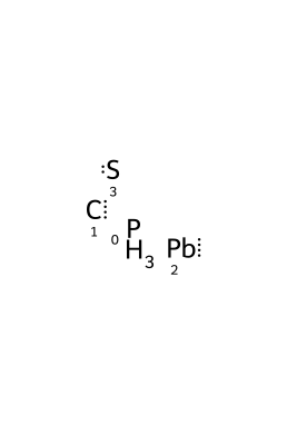 P.[C].[Pb].[S]